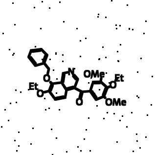 CCOc1ccc2c(C(=O)c3cc(OC)c(OCC)c(OC)c3)cncc2c1OCc1ccccc1